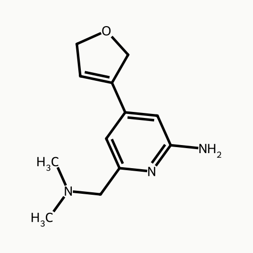 CN(C)Cc1cc(C2=CCOC2)cc(N)n1